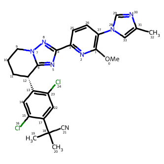 COc1nc(-c2nc3n(n2)CCC[C@H]3c2cc(Cl)c(C(C)(C)C#N)cc2Cl)ccc1-n1cnc(C)c1